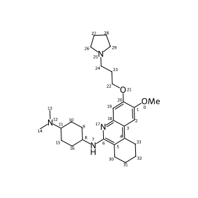 COc1cc2c3c(c(NC4CCC(N(C)C)CC4)nc2cc1OCCCN1CCCC1)CCCC3